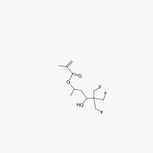 C=C(C)C(=O)OC(C)CC(O)C(CF)(CF)CF